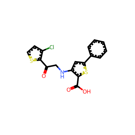 O=C(CNc1cc(-c2ccccc2)sc1C(=O)O)c1sccc1Cl